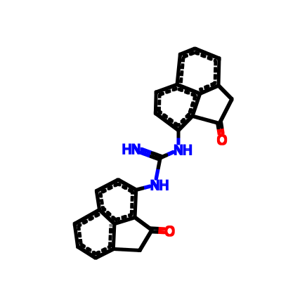 N=C(Nc1ccc2cccc3c2c1C(=O)C3)Nc1ccc2cccc3c2c1C(=O)C3